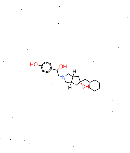 Oc1ccc(C(O)CN2C[C@@H]3C[C@](O)(CC4CCCCC4)C[C@@H]3C2)cc1